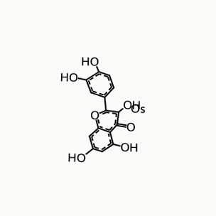 O=c1c(O)c(-c2ccc(O)c(O)c2)oc2cc(O)cc(O)c12.[Os]